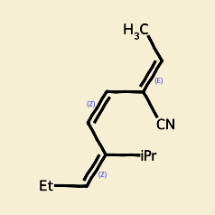 C\C=C(C#N)/C=C\C(=C/CC)C(C)C